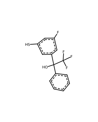 OC(c1ccccc1)(c1cc(F)cc(S)c1)C(F)(F)F